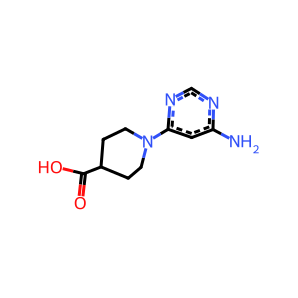 Nc1cc(N2CCC(C(=O)O)CC2)ncn1